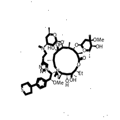 CC[C@H]1OC(=O)[C@H](C)[C@@H](O[C@H]2C[C@@](C)(OC)[C@@H](O)[C@H](C)O2)[C@H](C)[C@@H](O[C@@H]2O[C@H](C)C[C@H](N(C)CCc3cn([C@H](CF)[C@H](OC)c4ccc(C5=CCSCC5)cc4)nn3)[C@H]2O)[C@](C)(O)C[C@@H](C)CN(C)[C@H](C)[C@@H](O)[C@]1(C)O